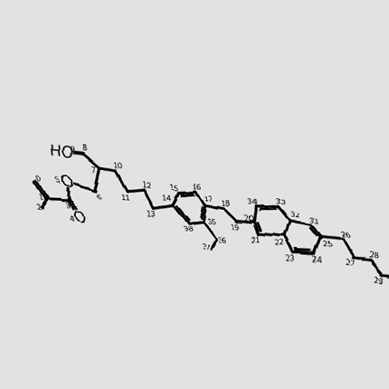 C=C(C)C(=O)OCC(CO)CCCCc1ccc(CCC2=CC3C=CC(CCCCC)=CC3C=C2)c(CC)c1